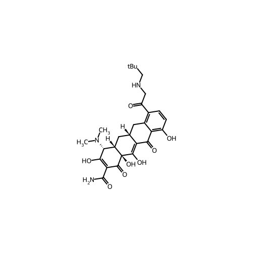 CN(C)[C@H]1C(O)=C(C(N)=O)C(=O)[C@@]2(O)C(O)=C3C(=O)c4c(O)ccc(C(=O)CNCC(C)(C)C)c4C[C@H]3C[C@@H]12